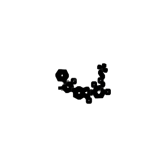 C[C@@H]1CN(c2ccc3c(c2)CN(C2CCC(=O)N(COCC[Si](C)(C)C)C2=O)C3=O)C(=O)N1c1ccccc1